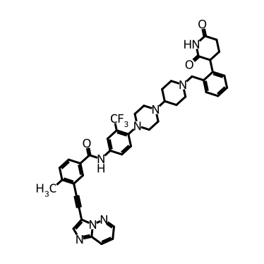 Cc1ccc(C(=O)Nc2ccc(N3CCN(C4CCN(Cc5ccccc5C5CCC(=O)NC5=O)CC4)CC3)c(C(F)(F)F)c2)cc1C#Cc1cnc2cccnn12